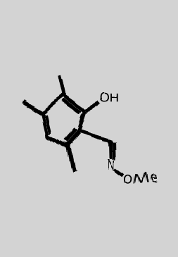 CON=Cc1c(C)cc(C)c(C)c1O